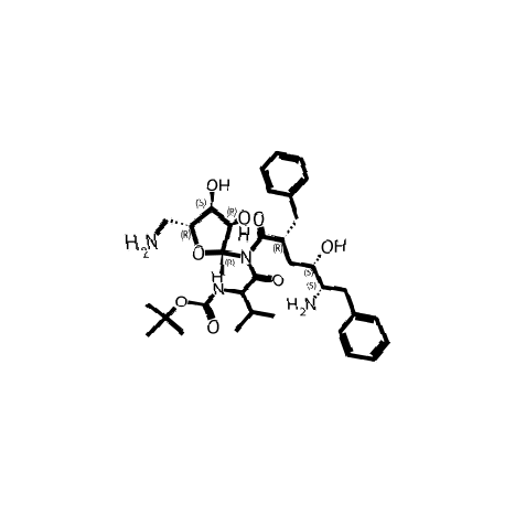 CC(C)C(NC(=O)OC(C)(C)C)C(=O)N(C(=O)[C@H](Cc1ccccc1)C[C@H](O)[C@@H](N)Cc1ccccc1)[C@]1(C)O[C@H](CN)[C@@H](O)[C@H]1O